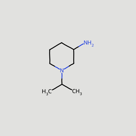 CC(C)N1CCCC(N)C1